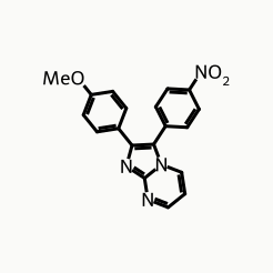 COc1ccc(-c2nc3ncccn3c2-c2ccc([N+](=O)[O-])cc2)cc1